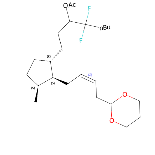 CCCCC(F)(F)C(CC[C@H]1CC[C@H](C)[C@@H]1C/C=C\CC1OCCCO1)OC(C)=O